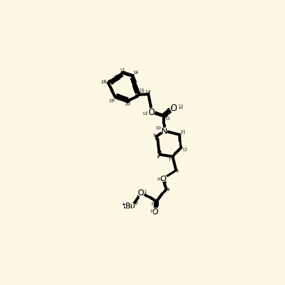 CC(C)(C)OC(=O)COCC1CCN(C(=O)OCc2ccccc2)CC1